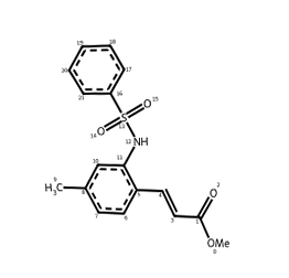 COC(=O)C=Cc1ccc(C)cc1NS(=O)(=O)c1ccccc1